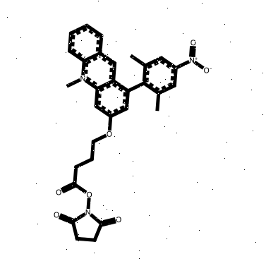 Cc1cc([N+](=O)[O-])cc(C)c1-c1cc(OCCCC(=O)ON2C(=O)CCC2=O)cc2c1cc1ccccc1[n+]2C